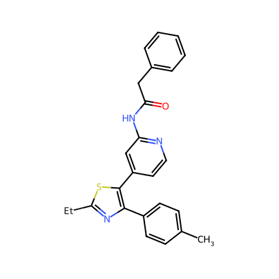 CCc1nc(-c2ccc(C)cc2)c(-c2ccnc(NC(=O)Cc3ccccc3)c2)s1